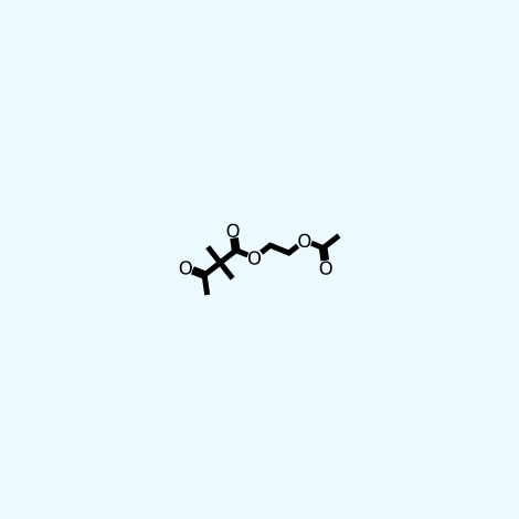 CC(=O)OCCOC(=O)C(C)(C)C(C)=O